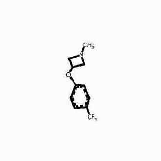 CN1CC(Oc2ccc(C(F)(F)F)cc2)C1